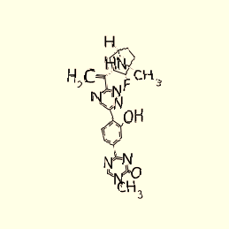 C=C(c1ncc(-c2ccc(-c3ncn(C)c(=O)n3)cc2O)nn1)[C@@H]1C[C@H]2CC[C@](C)(N2)[C@@H]1F